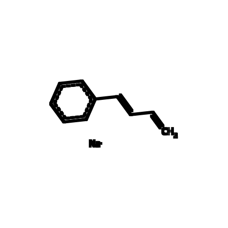 C=CC=Cc1ccccc1.[Na]